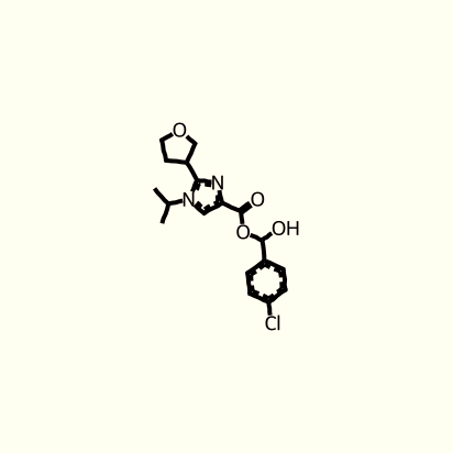 CC(C)n1cc(C(=O)OC(O)c2ccc(Cl)cc2)nc1C1CCOC1